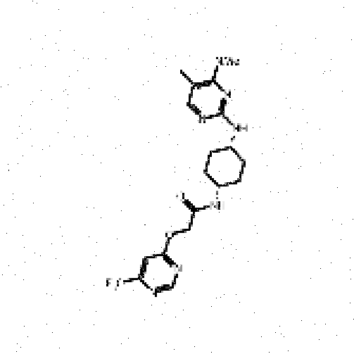 CNc1nc(N[C@H]2CC[C@@H](NC(=O)COc3cc(C(F)(F)F)ncn3)CC2)ncc1C